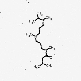 CC(C)CC(=O)N(C)CCCN(C)CCCN(C)C(C)C